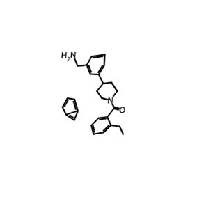 CCc1ccccc1C(=O)N1CCC(c2cccc(CN)c2)CC1.c1cc2cc-2c1